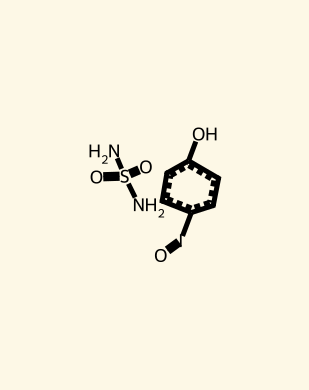 NS(N)(=O)=O.O=Ic1ccc(O)cc1